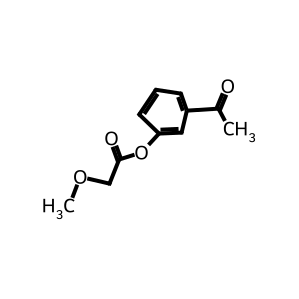 COCC(=O)Oc1cccc(C(C)=O)c1